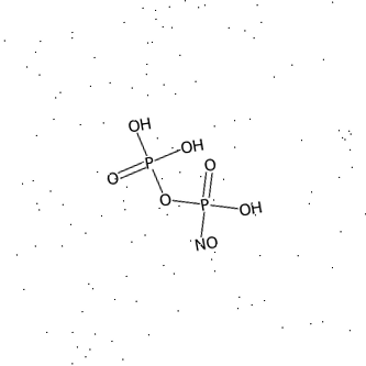 O=NP(=O)(O)OP(=O)(O)O